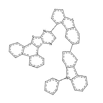 c1ccc(-n2c3ccccc3c3cc(-c4ccc5sc6cccc(-c7cnc8c(n7)sc7c9ccccc9c9ccccc9c87)c6c5c4)ccc32)cc1